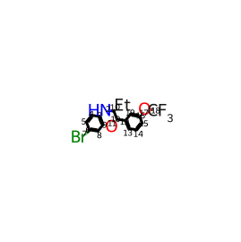 CCC(Nc1ccc(Br)cc1)C(=O)c1cccc(OC(F)(F)F)c1